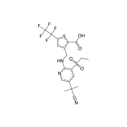 CCS(=O)(=O)c1cc(C(C)(C)C#N)cnc1NCc1cc(C(F)(F)C(F)(F)F)sc1C(=O)O